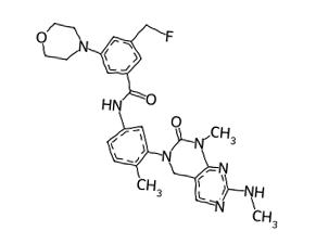 CNc1ncc2c(n1)N(C)C(=O)N(c1cc(NC(=O)c3cc(CF)cc(N4CCOCC4)c3)ccc1C)C2